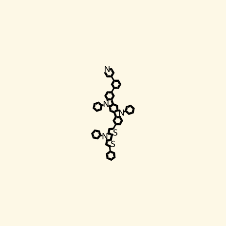 c1ccc(-c2cc3c(s2)c2sc(-c4ccc5c(c4)c4cc6c(cc4n5-c4ccccc4)c4cc(-c5cccc(-c7ccncc7)c5)ccc4n6-c4ccccc4)cc2n3-c2ccccc2)cc1